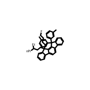 CCCC(CC)CCC1(CCCCF)c2ccccc2-c2ccc3c(c21)C(c1cccc(C)c1)(c1cccc(C)c1)c1ccccc1-3